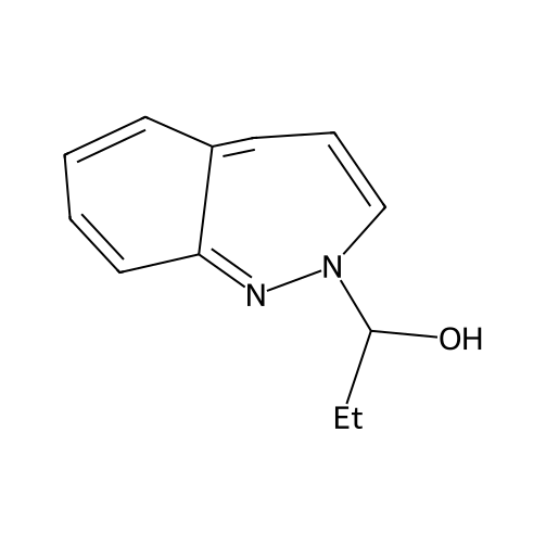 CCC(O)N1C=CC=c2ccccc2=N1